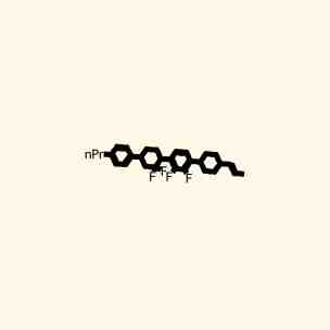 C/C=C/C1CCC(c2ccc(C3CCC(c4ccc(CCC)cc4)CC3(F)F)c(F)c2F)CC1